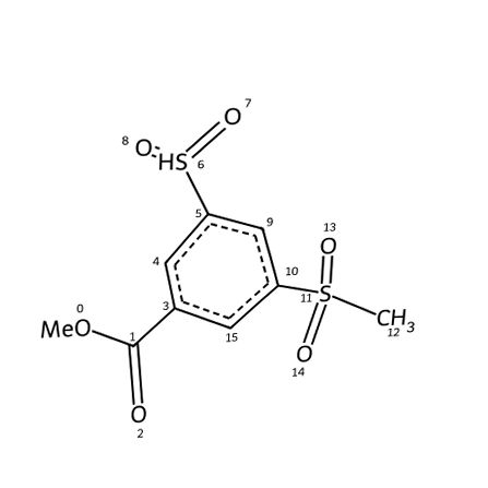 COC(=O)c1cc([SH](=O)=O)cc(S(C)(=O)=O)c1